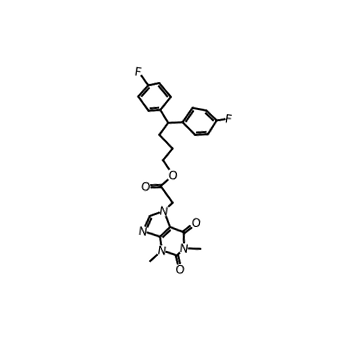 Cn1c(=O)c2c(ncn2CC(=O)OCCCC(c2ccc(F)cc2)c2ccc(F)cc2)n(C)c1=O